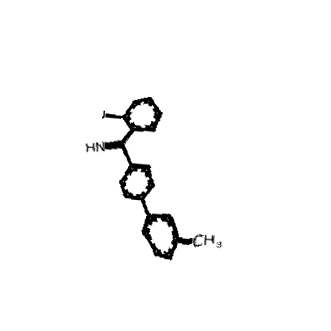 Cc1cccc(-c2ccc(C(=N)c3ccccc3I)cc2)c1